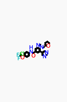 O=C(Nc1ccc(OC(F)(F)Cl)cc1)c1cc(-c2cncnc2)c2c(c1)ncn2C[C@H]1CCCO1